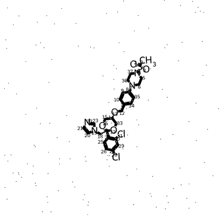 CS(=O)(=O)N1CCN(c2ccc(CO[C@H]3CO[C@@](Cn4ccnc4)(c4ccc(Cl)cc4Cl)OC3)cc2)CC1